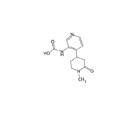 CN1CCC(c2ccncc2NC(=O)O)CC1=O